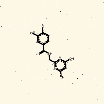 O=C(NCc1nc(O)cc(O)n1)c1ccc(Cl)c(Cl)c1